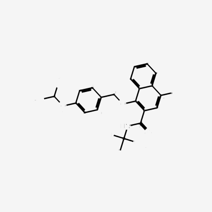 CCC(C)(NC(=O)c1cc(F)c2ccccc2c1OCc1ccc(OC(F)F)cc1)C(=O)O